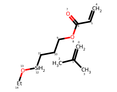 C=C(C)C.C=CC(=O)OCCC[SiH2]OCC